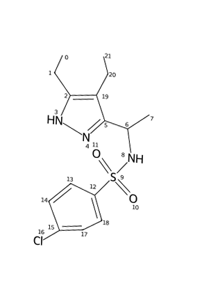 CCc1[nH]nc(C(C)NS(=O)(=O)c2ccc(Cl)cc2)c1CC